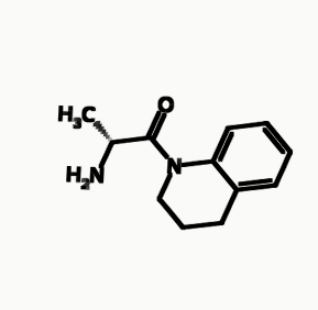 C[C@@H](N)C(=O)N1CCCc2ccccc21